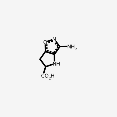 Nc1noc2c1NC(C(=O)O)C2